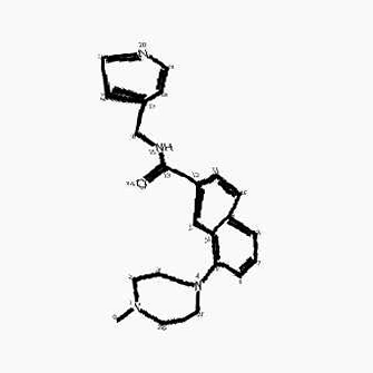 CN1CCN(c2cccc3ccc(C(=O)NCc4ccncc4)cc23)CC1